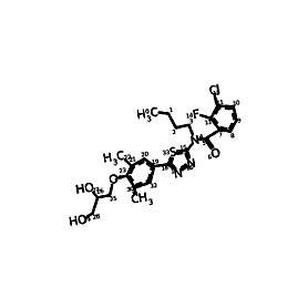 CCCCN(C(=O)c1cccc(Cl)c1F)c1nnc(-c2cc(C)c(OCC(O)CO)c(C)c2)s1